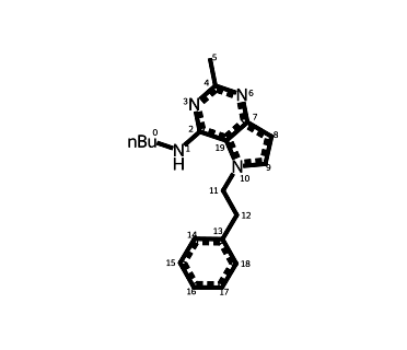 CCCCNc1nc(C)nc2ccn(CCc3ccccc3)c12